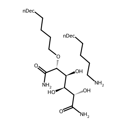 CCCCCCCCCCCCCCN.CCCCCCCCCCCCCCO[C@@H](C(N)=O)[C@@H](O)[C@H](O)[C@H](O)C(N)=O